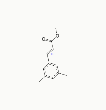 COC(=O)/C=C/c1cc(C)cc(C)c1